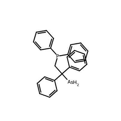 [AsH2]C(CP(c1ccccc1)c1ccccc1)(c1ccccc1)c1ccccc1